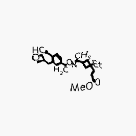 C#Cc1ccc(C(=C)O/N=C(\C)C2CC(CC)(CCC(=O)OC)C2)cc1CC1COC1